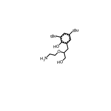 CC(C)(C)c1cc(CC(CO)OCCN)c(O)c(C(C)(C)C)c1